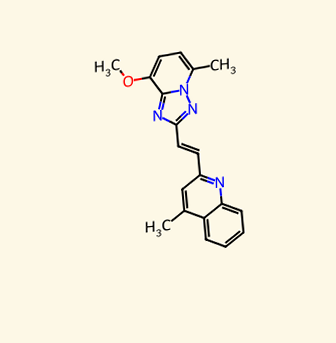 COc1ccc(C)n2nc(/C=C/c3cc(C)c4ccccc4n3)nc12